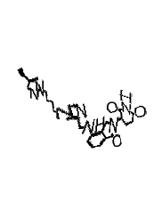 C#Cc1cnn(CCCCn2cnc(CNc3cccc4c3CN(C3CCC(=O)NC3=O)C4=O)c2)c1